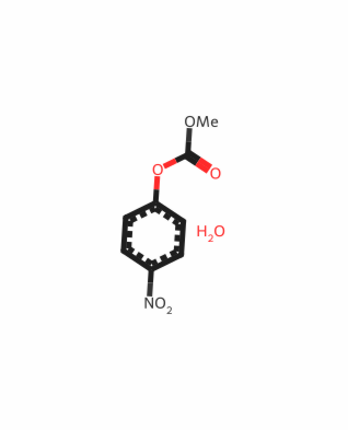 COC(=O)Oc1ccc([N+](=O)[O-])cc1.O